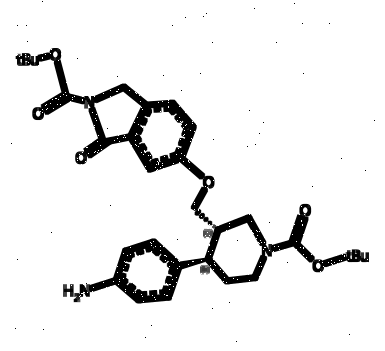 CC(C)(C)OC(=O)N1CC[C@@H](c2ccc(N)cc2)[C@H](COc2ccc3c(c2)C(=O)N(C(=O)OC(C)(C)C)C3)C1